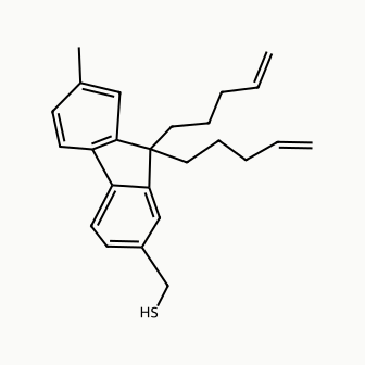 C=CCCCC1(CCCC=C)c2cc(C)ccc2-c2ccc(CS)cc21